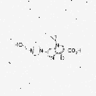 O=C(O)c1cn(C2CC2)c2cc(N3CCN(CCO)CC3)cnc2c1=O